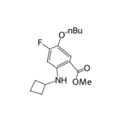 CCCCOc1cc(C(=O)OC)c(NC2CCC2)cc1F